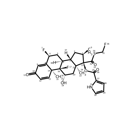 C[C@@H]1C[C@H]2[C@@H]3C[C@H](F)C4=CC(=O)C=C[C@]4(C)[C@@]3(F)[C@@H](O)C[C@]2(C)[C@@]1(OC(=O)c1ccc[nH]1)C(=O)SCF